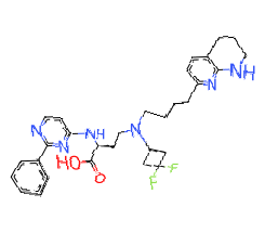 O=C(O)[C@H](CCN(CCCCc1ccc2c(n1)NCCC2)C1CC(F)(F)C1)Nc1ccnc(-c2ccccc2)n1